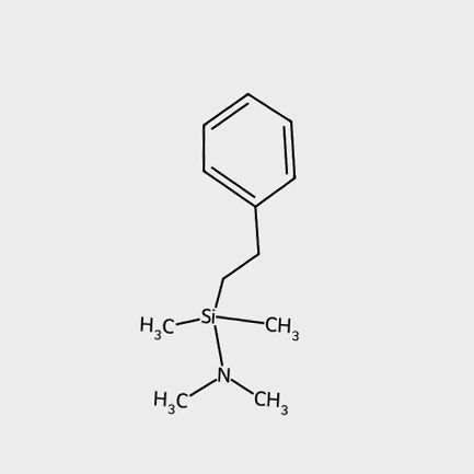 CN(C)[Si](C)(C)CCc1ccccc1